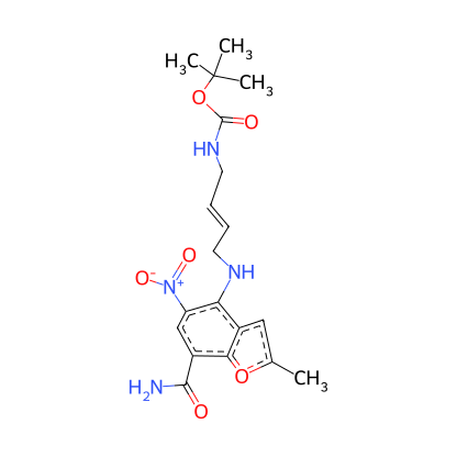 Cc1cc2c(NCC=CCNC(=O)OC(C)(C)C)c([N+](=O)[O-])cc(C(N)=O)c2o1